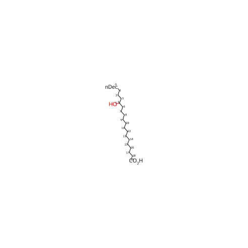 CCCCCCCCCCCCCC(O)CCCCCCCCCCCCCC(=O)O